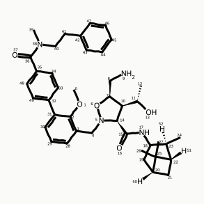 COc1c(CN2O[C@@H](CN)[C@@H]([C@H](C)O)[C@H]2C(=O)NC2C[C@H]3C[C@@H]([C@@H]2C)C3(C)C)cccc1-c1ccc(C(=O)N(C)CCc2ccccc2)cc1